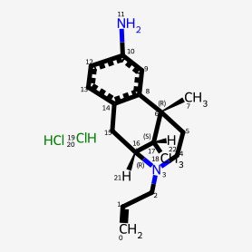 C=CCN1CC[C@@]2(C)c3cc(N)ccc3C[C@@H]1[C@H]2C.Cl.Cl